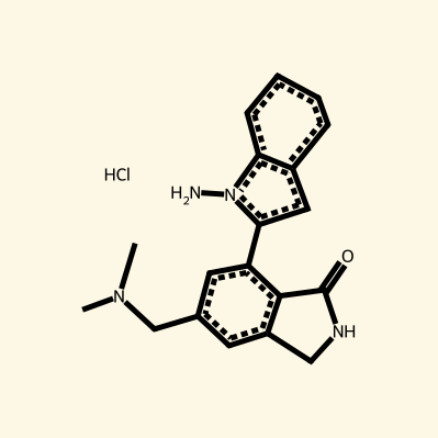 CN(C)Cc1cc2c(c(-c3cc4ccccc4n3N)c1)C(=O)NC2.Cl